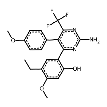 CCc1cc(-c2nc(N)nc(C(F)(F)F)c2-c2ccc(OC)cc2)c(O)cc1OC